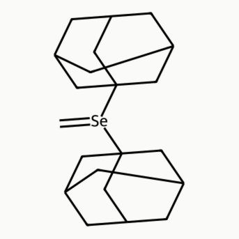 C=[Se](C12CC3CC(CC(C3)C1)C2)C12CC3CC(CC(C3)C1)C2